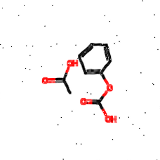 CC(=O)O.O=C(O)Oc1ccccc1